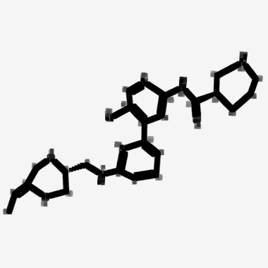 C/C=C1/CO[C@H](CNc2cccc(-c3cc(NC(=O)[C@@H]4CCCNC4)ncc3Cl)n2)CO1